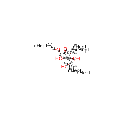 CCCCCCCC=COC[C@](O)(C=CCCCCCCC)[C@@](O)(C=CCCCCCCC)[C@](O)(C=CCCCCCCC)C(O)C=CCCCCCCC